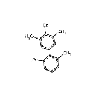 CCc1c(C)cccc1C.Cc1cccc(C(C)C)c1